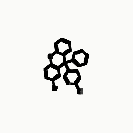 Clc1ccc(C2(c3ccccc3)c3ccccc3Oc3ccc(Br)cc32)cc1